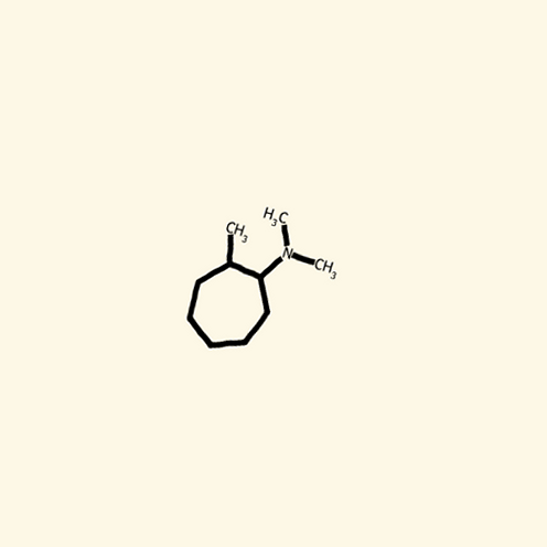 CC1CCCCCC1N(C)C